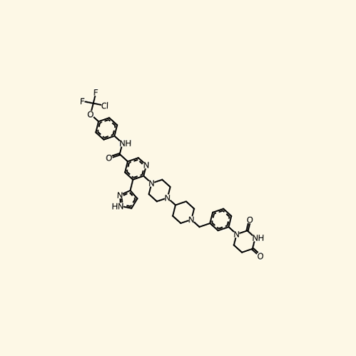 O=C1CCN(c2cccc(CN3CCC(N4CCN(c5ncc(C(=O)Nc6ccc(OC(F)(F)Cl)cc6)cc5-c5cc[nH]n5)CC4)CC3)c2)C(=O)N1